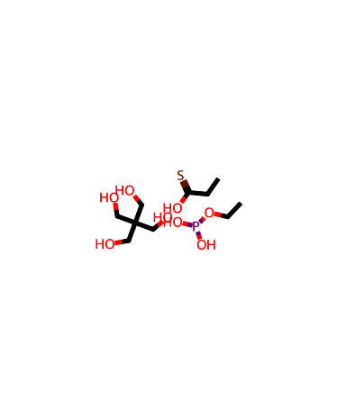 CCC(O)=S.CCOP(O)O.OCC(CO)(CO)CO